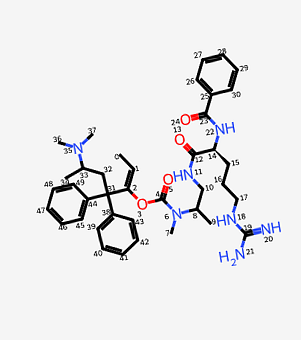 CC=C(OC(=O)N(C)C(C)CNC(=O)[C@H](CCCNC(=N)N)NC(=O)c1ccccc1)C(CC(C)N(C)C)(c1ccccc1)c1ccccc1